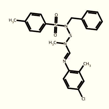 Cc1ccc(S(=O)(=O)N(Cc2ccccc2)SN(C)/C=N/c2ccc(Cl)cc2C)cc1